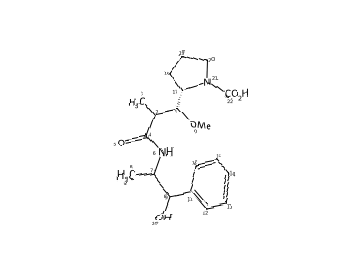 COC(C(C)C(=O)NC(C)C(O)c1ccccc1)[C@@H]1CCCN1C(=O)O